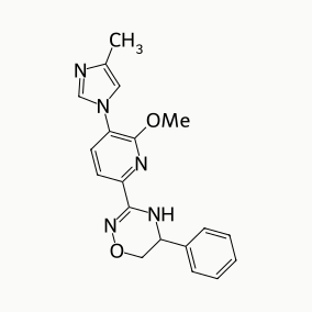 COc1nc(C2=NOCC(c3ccccc3)N2)ccc1-n1cnc(C)c1